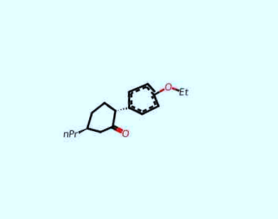 CCC[C@H]1CC[C@H](c2ccc(OCC)cc2)C(=O)C1